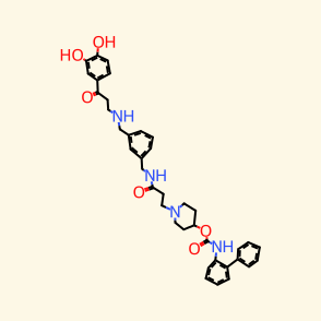 O=C(CCN1CCC(OC(=O)Nc2ccccc2-c2ccccc2)CC1)NCc1cccc(CNCCC(=O)c2ccc(O)c(O)c2)c1